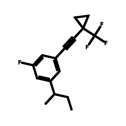 CCC(C)c1cc(F)cc(C#CC2(C(F)(F)F)CC2)c1